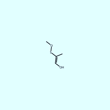 COS/C(C)=C/O